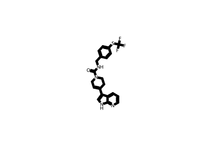 O=C(NCc1ccc(SC(F)(F)F)cc1)N1CC=C(c2c[nH]c3ncccc23)CC1